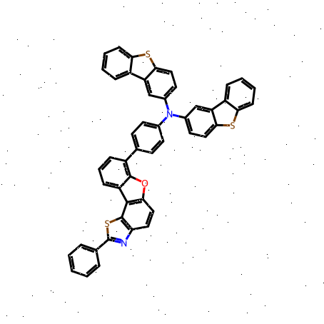 c1ccc(-c2nc3ccc4oc5c(-c6ccc(N(c7ccc8sc9ccccc9c8c7)c7ccc8sc9ccccc9c8c7)cc6)cccc5c4c3s2)cc1